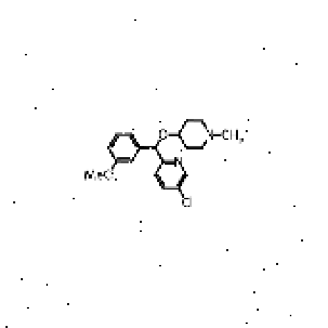 COc1cccc(C(OC2CCN(C)CC2)c2ccc(Cl)cn2)c1